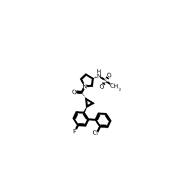 CS(=O)(=O)N[C@H]1CCN(C(=O)[C@@H]2C[C@H]2c2ccc(F)cc2-c2ccccc2Cl)C1